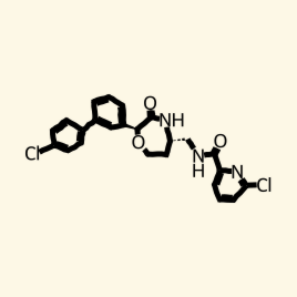 O=C(NC[C@@H]1CCO[C@@H](c2cccc(-c3ccc(Cl)cc3)c2)C(=O)N1)c1cccc(Cl)n1